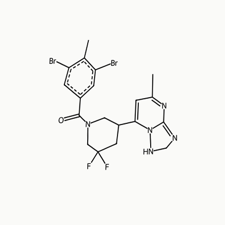 CC1=NC2=NCNN2C(C2CN(C(=O)c3cc(Br)c(C)c(Br)c3)CC(F)(F)C2)=C1